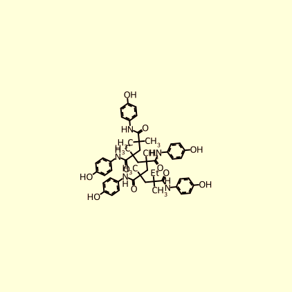 CCC(C)(CC(C)(CC(C)(CC(C)(CC(C)(C)C(=O)Nc1ccc(O)cc1)C(=O)Nc1ccc(O)cc1)C(=O)Nc1ccc(O)cc1)C(=O)Nc1ccc(O)cc1)C(=O)Nc1ccc(O)cc1